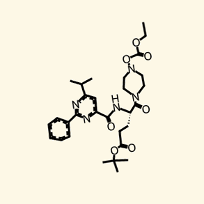 CCOC(=O)ON1CCN(C(=O)[C@H](CCC(=O)OC(C)(C)C)NC(=O)c2cc(C(C)C)nc(-c3ccccc3)n2)CC1